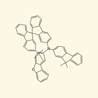 CC(C)(C)c1ccc2c(c1)C1(c3ccccc3-c3ccc(N(c4ccc5c(c4)C(C)(C)c4ccccc4-5)c4ccc5oc6ccccc6c5c4)cc31)c1ccccc1-2